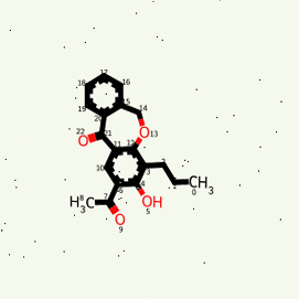 CCCc1c(O)c(C(C)=O)cc2c1OCc1ccccc1C2=O